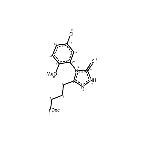 CCCCCCCCCCCCCc1n[nH]c(=S)n1-c1cc(Cl)ccc1OC